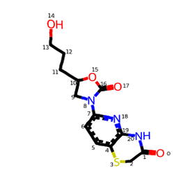 O=C1CSc2ccc(N3CC(CCCO)OC3=O)nc2N1